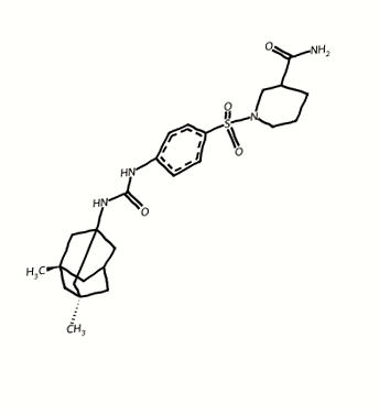 C[C@]12CC3CC(NC(=O)Nc4ccc(S(=O)(=O)N5CCCC(C(N)=O)C5)cc4)(C1)C[C@@](C)(C3)C2